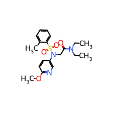 CCN(CC)C(=O)CN(c1ccc(OC)nc1)S(=O)(=O)c1ccccc1C